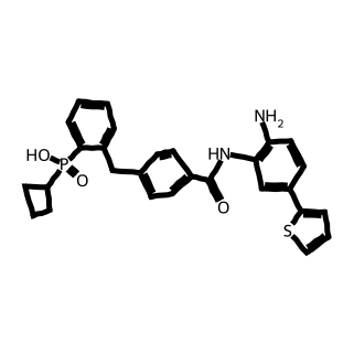 Nc1ccc(-c2cccs2)cc1NC(=O)c1ccc(Cc2ccccc2P(=O)(O)C2CCC2)cc1